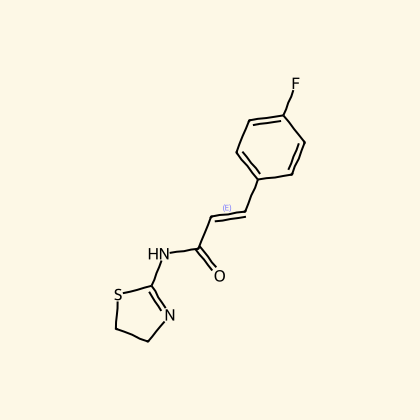 O=C(/C=C/c1ccc(F)cc1)NC1=NCCS1